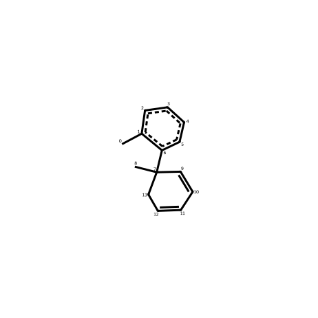 Cc1ccccc1C1(C)C=CC=CC1